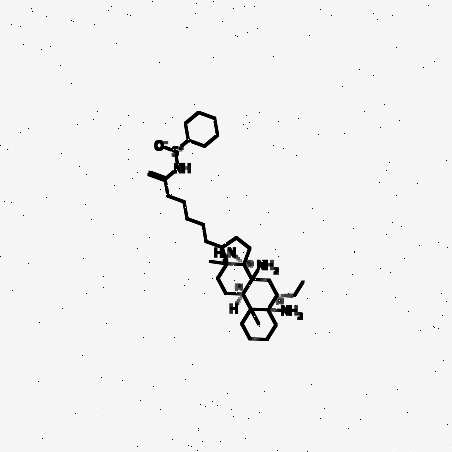 C=C(CCCCCC1CC[C@]2(N)C1(C)CC[C@@H]1C3(C)CCCCC3(N)[C@@H](CC)CC12N)N[S+]([O-])C1CCCCC1